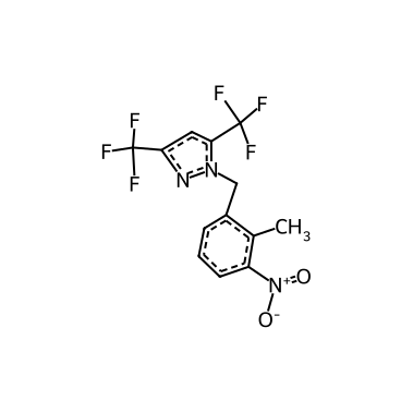 Cc1c(Cn2nc(C(F)(F)F)cc2C(F)(F)F)cccc1[N+](=O)[O-]